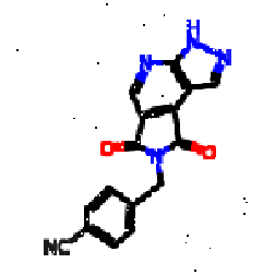 N#Cc1ccc(CN2C(=O)c3cnc4[nH]ncc4c3C2=O)cc1